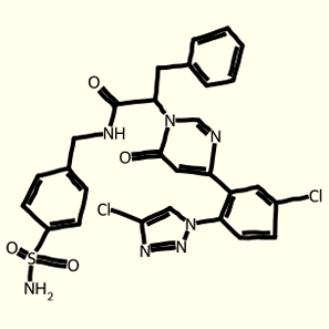 NS(=O)(=O)c1ccc(CNC(=O)C(Cc2ccccc2)n2cnc(-c3cc(Cl)ccc3-n3cc(Cl)nn3)cc2=O)cc1